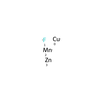 [Cu].[F].[Mn].[Zn]